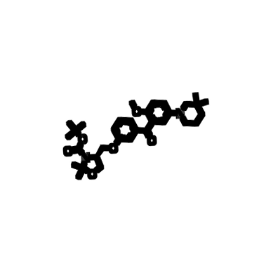 COc1ccc(N2CCCC(C)(C)C2)cc1C(=O)c1cccc(OC[C@H]2COC(C)(C)N2C(=O)OC(C)(C)C)c1